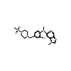 CCc1cc(CN2CCN(S(C)(=O)=O)CC2)ccc1N(C)c1cc2c(cn1)ncn2C